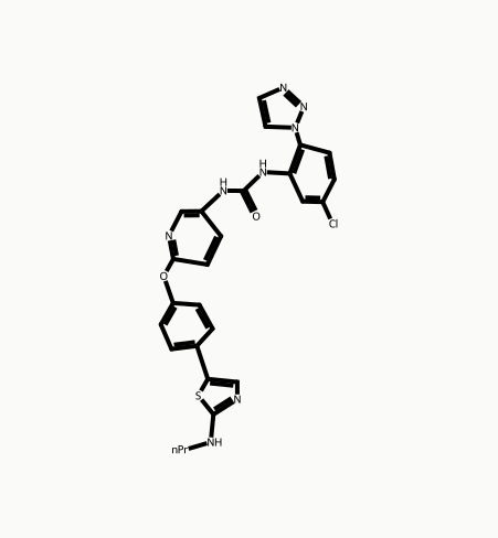 CCCNc1ncc(-c2ccc(Oc3ccc(NC(=O)Nc4cc(Cl)ccc4-n4ccnn4)cn3)cc2)s1